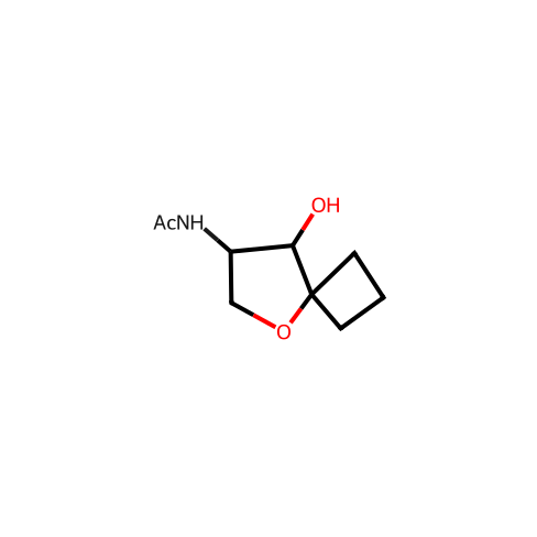 CC(=O)NC1COC2(CCC2)C1O